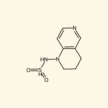 O=[SH](=O)NN1CCCc2cnccc21